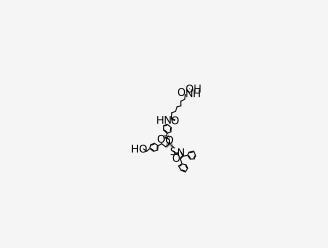 O=C(CCCCCCC(=O)Nc1ccc([C@@H]2OC(c3ccc(CO)cc3)C[C@H](CSc3nc(-c4ccccc4)c(-c4ccccc4)o3)O2)cc1)NO